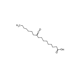 CCCCCCCC(=C=O)CCCCCCCCC(=O)O